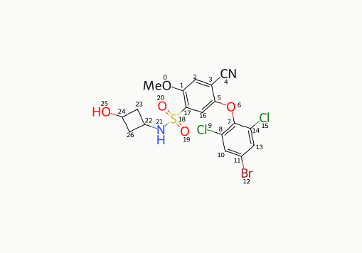 COc1cc(C#N)c(Oc2c(Cl)cc(Br)cc2Cl)cc1S(=O)(=O)NC1CC(O)C1